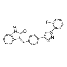 O=C1Nc2ccccc2/C1=C/c1ccc(-c2cn(-c3ccccc3F)nn2)cc1